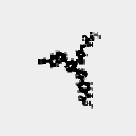 COC(=O)NCC1CC(Nc2cc(-c3ccc4cc(C#N)cnn34)ncc2-c2nnc(C3CCC(NC(C)=O)CC3)s2)C1